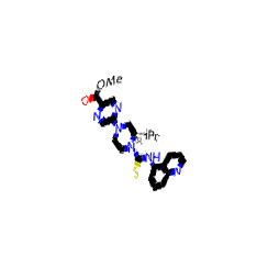 COC(=O)c1cnc(N2CCN(C(=S)Nc3cccc4ncccc34)[C@@H](C(C)C)C2)cn1